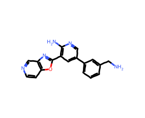 NCc1cccc(-c2cnc(N)c(-c3nc4cnccc4o3)c2)c1